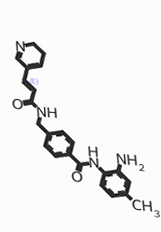 Cc1ccc(NC(=O)c2ccc(CNC(=O)/C=C/C3=CCCN=C3)cc2)c(N)c1